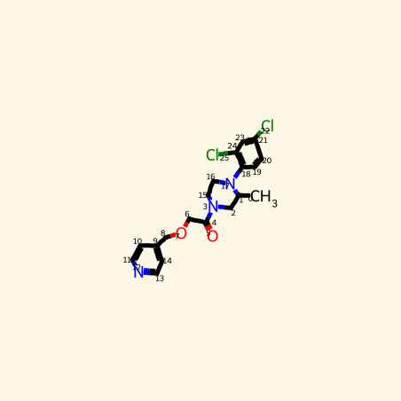 CC1CN(C(=O)COCc2ccncc2)CCN1c1ccc(Cl)cc1Cl